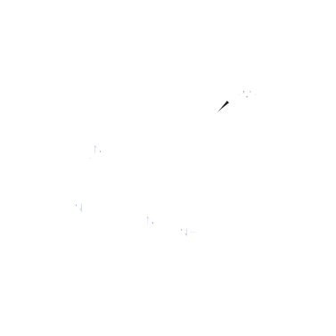 CO[C@H]1CC[C@H](C2=C(N)N=CCN2N)CC1